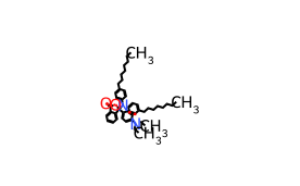 CCCCCCCCc1ccc(N(c2ccc(CCCCCCCC)cc2)C2(c3ccc(N(CC)CC)cc3)OC(=O)c3ccccc32)cc1